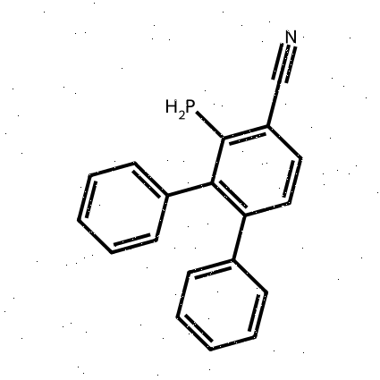 N#Cc1ccc(-c2ccccc2)c(-c2ccccc2)c1P